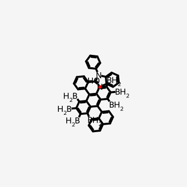 Bc1c(B)c(B)c2c(-c3ccccc3-c3nc4ccccc4n3-c3ccccc3)c3c(O)c(B)c(B)c(B)c3c(-c3cccc4ccccc34)c2c1B